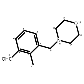 Cc1c(C=O)cccc1CN1CCOCC1